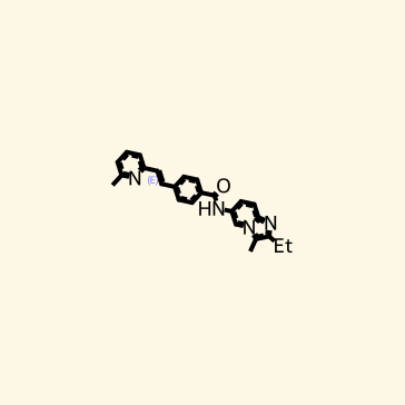 CCc1nc2ccc(NC(=O)c3ccc(/C=C/c4cccc(C)n4)cc3)cn2c1C